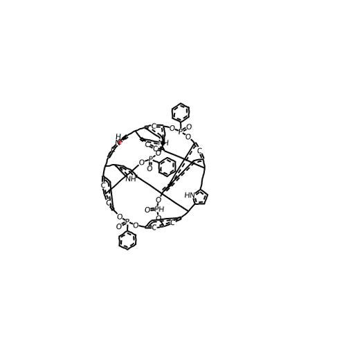 O=[PH]1Oc2cc3cc(c2)C2c4ccc([nH]4)C4c5cc(cc(c5)OP(=O)(c5ccccc5)Oc5cc6cc(c5)C(c5ccc4[nH]5)c4ccc([nH]4)C(c4cc(cc(c4)OP(=O)(c4ccccc4)O6)OP(=O)(c4ccccc4)O3)c3ccc2[nH]3)O1